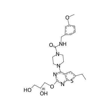 CCc1cc2c(N3CCN(C(=O)NCc4cccc(OC)c4)CC3)nc(OC[C@H](O)CO)nc2s1